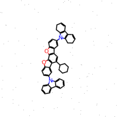 C1=Cc2c3c(n(-c4ccc5oc6c(cc(C7CCCCC7)c7c8cc(-n9c%10ccccc%10c%10ccccc%109)ccc8oc67)c5c4)c2CC1)CCC=C3